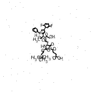 CC(C)(C)[C@H](c1cc(-c2cc(F)ccc2F)cn1Cc1ccccc1)N(CC[C@H](NC(=O)OCC[Si](C)(C)C)C(=O)NC(=O)CCC(=O)O)C(=O)CO